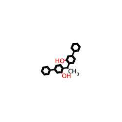 CC(c1ccc(-c2ccccc2)cc1O)c1ccc(-c2ccccc2)cc1O